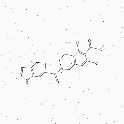 COC(=O)c1c(Cl)cc2c(c1Cl)CCN(C(=O)c1ccc3cn[nH]c3c1)C2